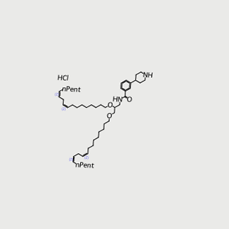 CCCCC/C=C\C/C=C\CCCCCCCCOCC(CNC(=O)c1cccc(C2CCNCC2)c1)OCCCCCCCC/C=C\C/C=C\CCCCC.Cl